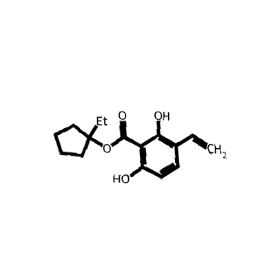 C=Cc1ccc(O)c(C(=O)OC2(CC)CCCC2)c1O